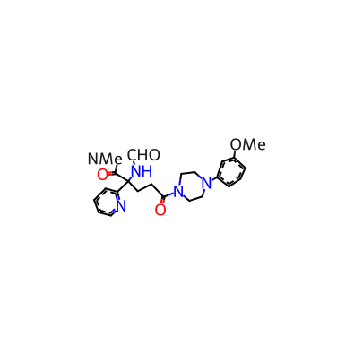 CNC(=O)C(CCC(=O)N1CCN(c2cccc(OC)c2)CC1)(NC=O)c1ccccn1